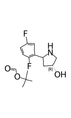 CC(C)(C)OC=O.O[C@H]1CNC(c2cc(F)ccc2F)C1